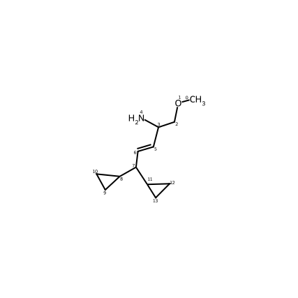 COCC(N)C=CC(C1CC1)C1CC1